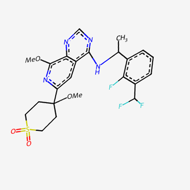 COc1nc(C2(OC)CCS(=O)(=O)CC2)cc2c(NC(C)c3cccc(C(F)F)c3F)ncnc12